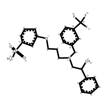 CC(CN(CCCOc1cccc(S(C)(=O)=O)c1)Cc1cccc(C(F)(F)F)c1)c1ccccc1